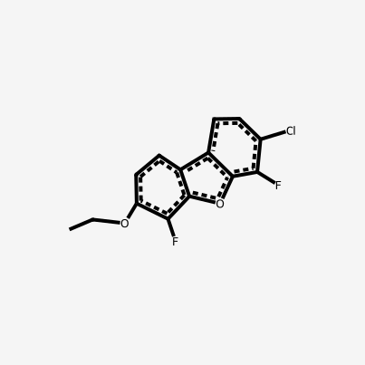 CCOc1ccc2c(oc3c(F)c(Cl)ccc32)c1F